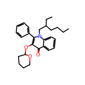 CCCCC(CC)Cn1c(-c2ccccc2)c(OC2CCCCO2)c(=O)c2ccccc21